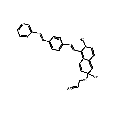 C=CCOC1(O)C=CC2=C(/N=N/c3ccc(/N=N/c4ccccc4)cc3)C(O)C=CC2=C1